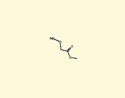 COC(=O)CO[NH]